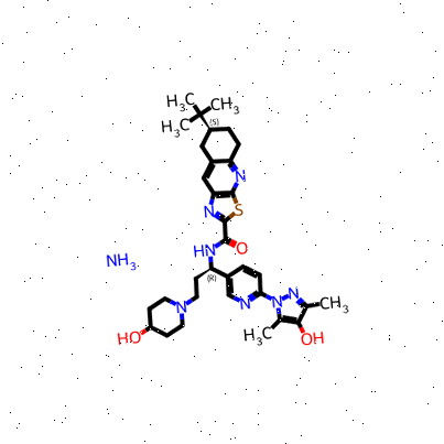 Cc1nn(-c2ccc([C@@H](CCN3CCC(O)CC3)NC(=O)c3nc4cc5c(nc4s3)CC[C@H](C(C)(C)C)C5)cn2)c(C)c1O.N